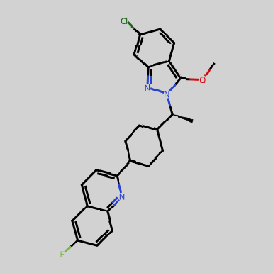 COc1c2ccc(Cl)cc2nn1[C@@H](C)C1CCC(c2ccc3cc(F)ccc3n2)CC1